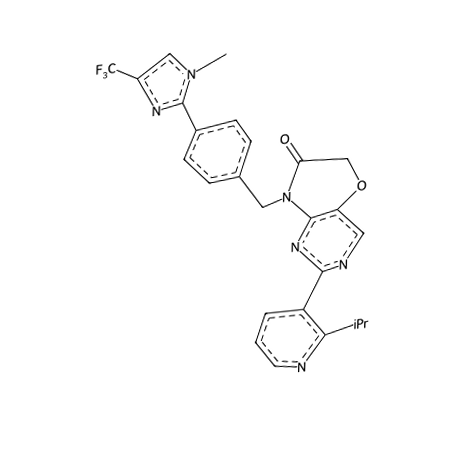 CC(C)c1ncccc1-c1ncc2c(n1)N(Cc1ccc(-c3nc(C(F)(F)F)cn3C)cc1)C(=O)CO2